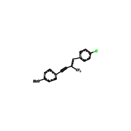 COc1ccc(C#CC(=Cc2ccc(Cl)cc2)C(F)(F)F)cc1